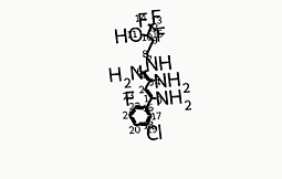 N/C(=C\C(N)=C(/N)NCCC(O)C(F)(F)F)c1cc(Cl)ccc1F